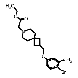 CCOC(=O)CN1CCC2(CC1)CC(COc1ccc(Br)c(C)c1)C2